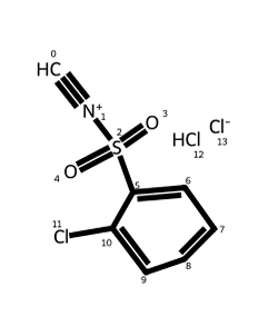 C#[N+]S(=O)(=O)c1ccccc1Cl.Cl.[Cl-]